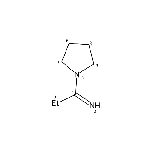 CCC(=N)N1C[CH]CC1